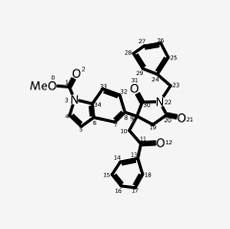 COC(=O)n1ccc2cc(C3(CC(=O)c4ccccc4)CC(=O)N(Cc4ccccc4)C3=O)ccc21